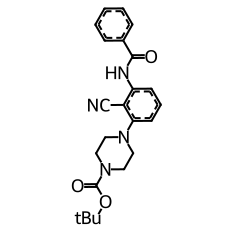 CC(C)(C)OC(=O)N1CCN(c2cccc(NC(=O)c3ccccc3)c2C#N)CC1